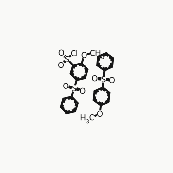 COc1ccc(S(=O)(=O)c2ccccc2)cc1.COc1ccc(S(=O)(=O)c2ccccc2)cc1S(=O)(=O)Cl